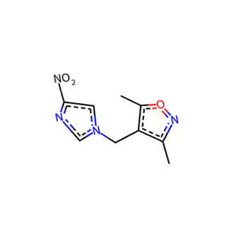 Cc1noc(C)c1Cn1cnc([N+](=O)[O-])c1